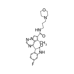 Cc1c(C(=O)NCCCN2CCOCC2)cn2ncnc(C3C(=O)Nc4cc(F)ccc43)c12